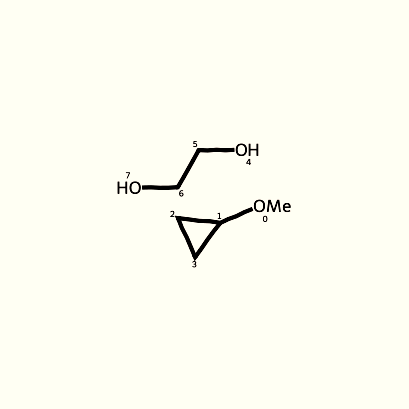 COC1CC1.OCCO